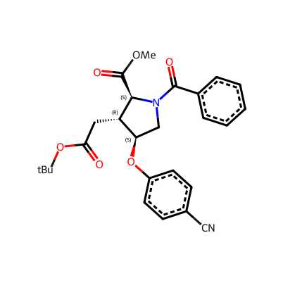 COC(=O)[C@@H]1[C@@H](CC(=O)OC(C)(C)C)[C@H](Oc2ccc(C#N)cc2)CN1C(=O)c1ccccc1